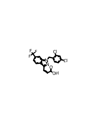 O=C(O)/C=C\c1nn(Cc2ccc(Cl)cc2Cl)c2cc(C(F)(F)F)ccc12